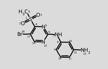 CS(=O)(=O)c1nc(Nc2cccc(N)c2)ncc1Br